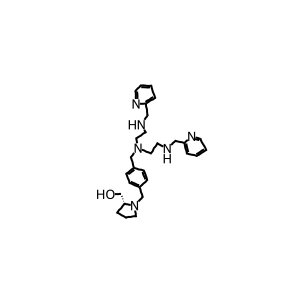 OC[C@H]1CCCN1Cc1ccc(CN(CCNCc2ccccn2)CCNCc2ccccn2)cc1